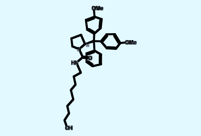 COc1ccc(C(c2ccccc2)(c2ccc(OC)cc2)[C@@H]2CCCN2C(=O)NCCCCCCCCO)cc1